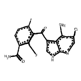 COc1c(Cl)cnc2[nH]cc(C(=O)c3c(F)ccc(C(N)=O)c3F)c12